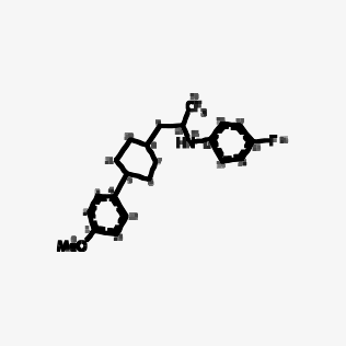 COc1ccc(C2CCC(CC(Nc3ccc(F)cc3)C(F)(F)F)CC2)cc1